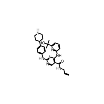 C=CCNC(=O)c1cnc(Nc2ccc(C3CCNCC3)cc2)nc1Nc1cccc(C(C)(C)O)n1